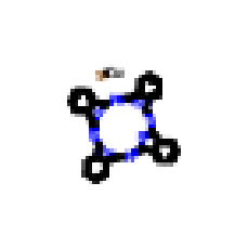 [S]=[Cu].c1ccc2c(c1)-c1nc-2nc2[nH]c(nc3nc(nc4[nH]c(n1)c1ccccc41)-c1ccccc1-3)c1ccccc21